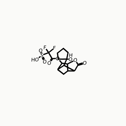 O=C1OC2C3CC(C2OC(=O)C(F)(F)S(=O)(=O)O)C(C2(O)CCCC2)C13